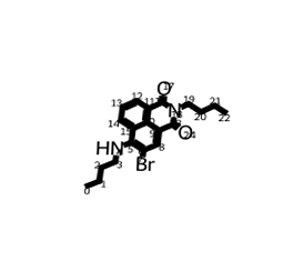 CCCCNc1c(Br)cc2c3c(cccc13)C(=O)N(CCCC)C2=O